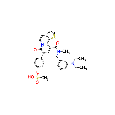 CCN(CC)c1cccc(CN(C)C(=O)c2cc(-c3ccccc3)c(=O)n3ccc4ccsc4c23)c1.CS(=O)(=O)O